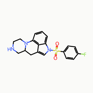 O=S(=O)(c1ccc(F)cc1)n1cc2c3c(cccc31)N1CCNCC1C2